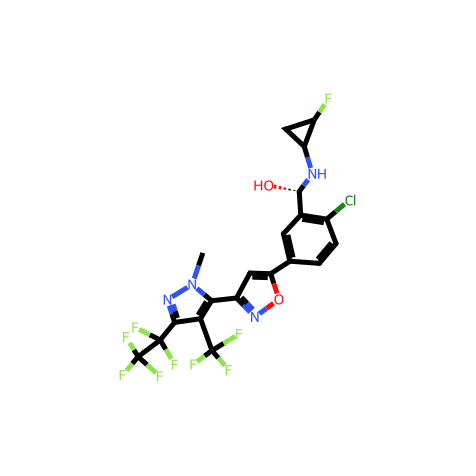 Cn1nc(C(F)(F)C(F)(F)F)c(C(F)(F)F)c1-c1cc(-c2ccc(Cl)c([C@H](O)NC3CC3F)c2)on1